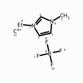 CC[n+]1ccn(C)c1.F[B-](F)(F)F.[C+4]